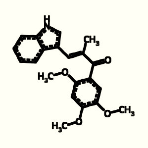 COc1cc(OC)c(C(=O)/C(C)=C/c2c[nH]c3ccccc23)cc1OC